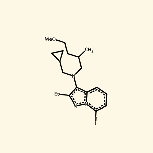 CCc1nn2c(I)cccc2c1N(CC(C)CCOC)CC1CC1